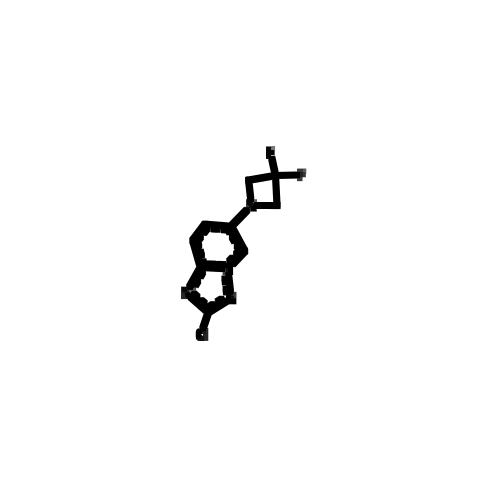 FC1(F)CN(c2ccc3nc(Cl)nn3c2)C1